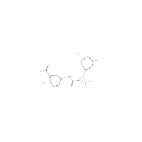 O=C(I)c1cc(NC(=O)C2C(c3cc(Cl)cc(Cl)c3)C2(Cl)Cl)ccc1Cl